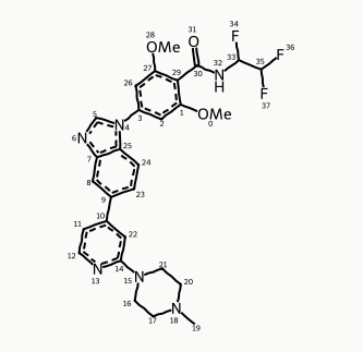 COc1cc(-n2cnc3cc(-c4ccnc(N5CCN(C)CC5)c4)ccc32)cc(OC)c1C(=O)NC(F)C(F)F